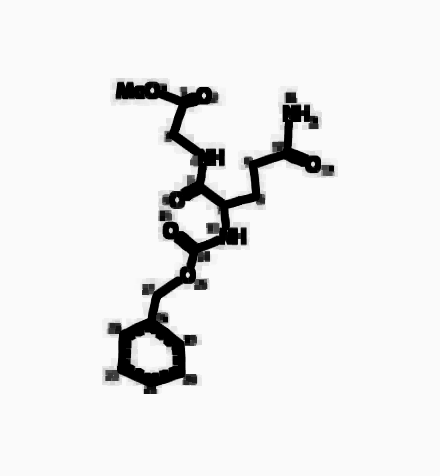 COC(=O)CNC(=O)C(CCC(N)=O)NC(=O)OCc1ccccc1